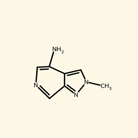 Cn1cc2c(N)cncc2n1